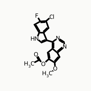 COc1cc2ncnc(-c3c[nH]c4cc(F)c(Cl)cc34)c2cc1OC(C)=O